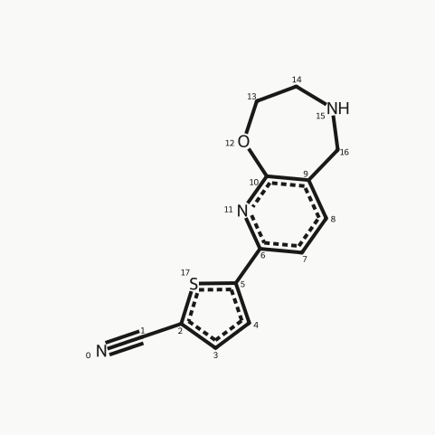 N#Cc1ccc(-c2ccc3c(n2)OCCNC3)s1